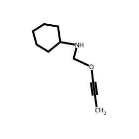 CC#COCNC1CCCCC1